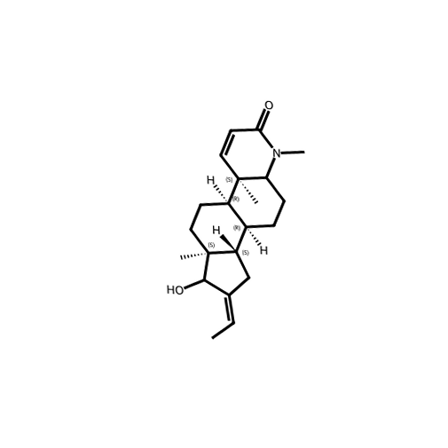 CC=C1C[C@H]2[C@@H]3CCC4N(C)C(=O)C=C[C@]4(C)[C@@H]3CC[C@]2(C)C1O